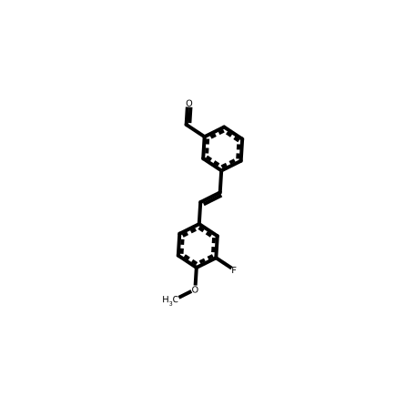 COc1ccc(/C=C/c2cccc(C=O)c2)cc1F